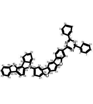 c1ccc(-c2nc(-c3ccccc3)nc(-c3ccc4c(c3)oc3cc5oc6ccc(-n7c8ccccc8c8c9sc%10ccccc%10c9ccc87)cc6c5cc34)n2)cc1